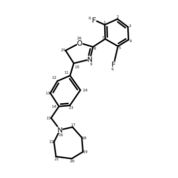 Fc1cccc(F)c1C1=NC(c2ccc(CN3CCCCCC3)cc2)CO1